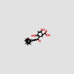 O=C(O)c1cc(C(=O)C#C[C]23[CH]4[CH]5[CH]6[CH]2[Fe]56432789[CH]3[CH]2[CH]7[CH]8[CH]39)c(O)cc1O